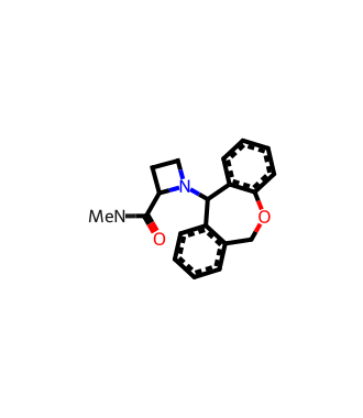 CNC(=O)C1CCN1C1c2ccccc2COc2ccccc21